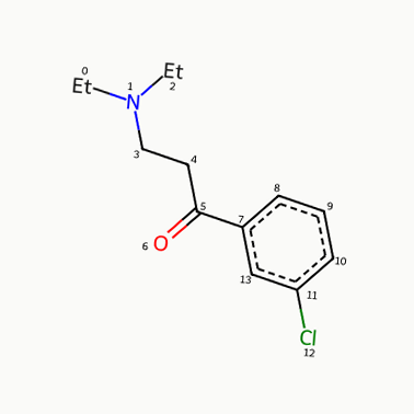 CCN(CC)CCC(=O)c1cccc(Cl)c1